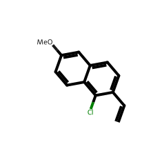 C=Cc1ccc2cc(OC)ccc2c1Cl